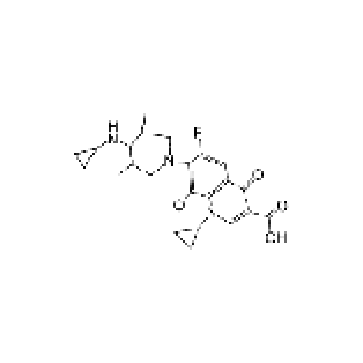 COc1c(N2CC(C)C(NC3CC3)C(C)C2)c(F)cc2c(=O)c(C(=O)O)cn(C3CC3)c12